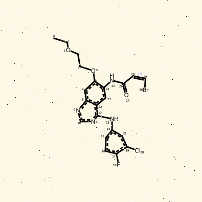 CCOCCOc1cc2ncnc(Nc3ccc(F)c(Cl)c3)c2cc1NC(=O)/C=C\Br